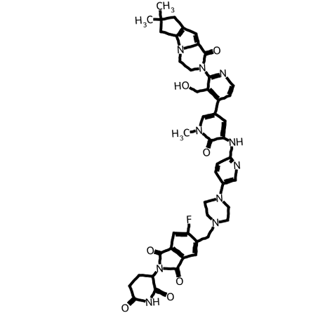 Cn1cc(-c2ccnc(N3CCn4c(cc5c4CC(C)(C)C5)C3=O)c2CO)cc(Nc2ccc(N3CCN(Cc4cc5c(cc4F)C(=O)N(C4CCC(=O)NC4=O)C5=O)CC3)cn2)c1=O